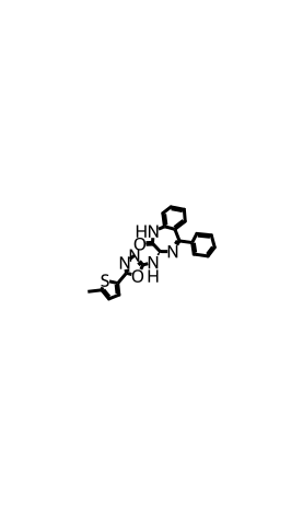 Cc1ccc(-c2nnc(N[C@H]3N=C(c4ccccc4)c4ccccc4NC3=O)o2)s1